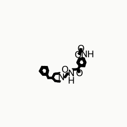 O=C(CN1CCC(Cc2ccccc2)CC1)NCC(=O)c1ccc2[nH]c(=O)oc2c1